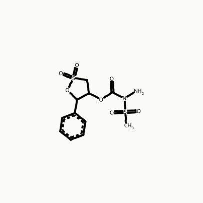 CS(=O)(=O)N(N)C(=O)OC1CS(=O)(=O)OC1c1ccccc1